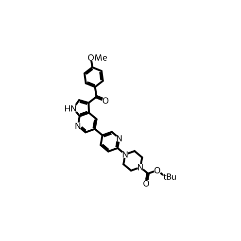 COc1ccc(C(=O)c2c[nH]c3ncc(-c4ccc(N5CCN(C(=O)OC(C)(C)C)CC5)nc4)cc23)cc1